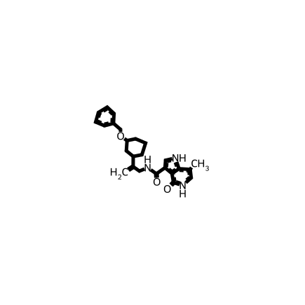 C=C(CNC(=O)c1c[nH]c2c(C)c[nH]c(=O)c12)C1CCCC(OCc2ccccc2)C1